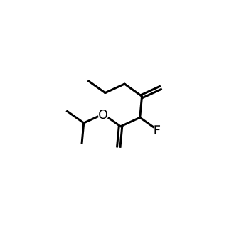 C=C(CCC)C(F)C(=C)OC(C)C